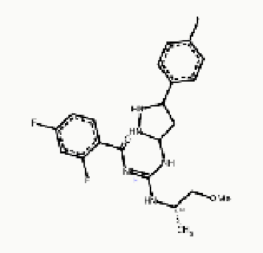 COC[C@H](C)N/C(=N/C(=O)c1ccc(F)cc1F)NC1CC(c2ccc(F)cc2)NN1